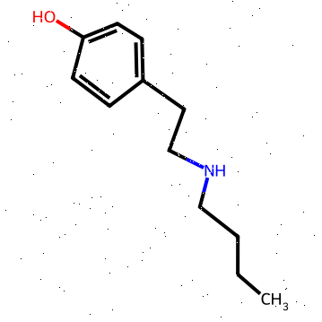 CCCCNCCc1ccc(O)cc1